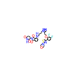 O=C1CCC(N2C(=O)c3cccc(NCCCCn4nncc4CCOc4c(-c5csc(N6CCOCC6)n5)ccc(F)c4F)c3C2=O)C(=O)N1